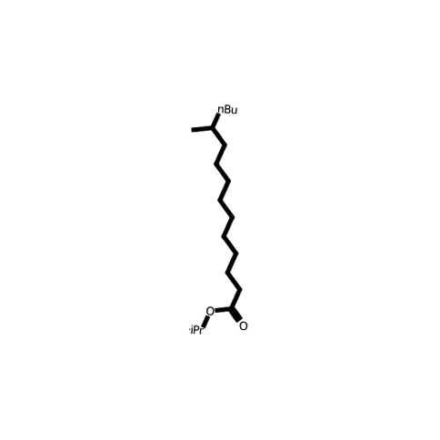 CCCCC(C)CCCCCCCCCC(=O)O[C](C)C